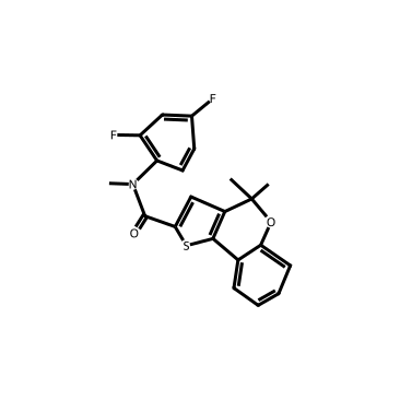 CN(C(=O)c1cc2c(s1)-c1ccccc1OC2(C)C)c1ccc(F)cc1F